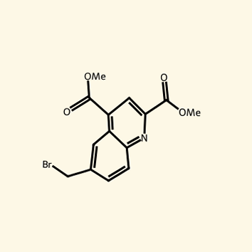 COC(=O)c1cc(C(=O)OC)c2cc(CBr)ccc2n1